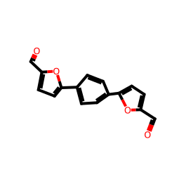 O=Cc1ccc(-c2ccc(-c3ccc(C=O)o3)cc2)o1